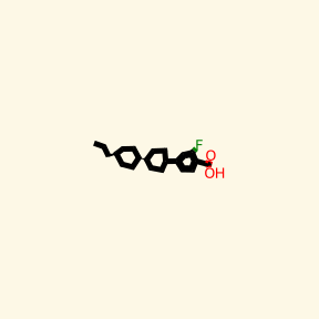 CCC[C@H]1CC[C@H](C2CCC(c3ccc(C(=O)O)c(F)c3)CC2)CC1